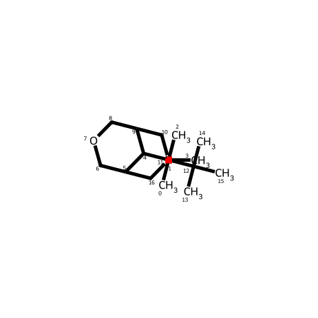 CC(C)(C)C1C2COCC1CN(C(C)(C)C)C2